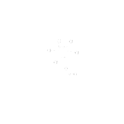 C=CC(=O)OCc1c(Cl)c(Cl)c(Cl)c(Cl)c1Cl